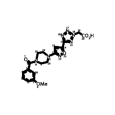 COc1cccc(C(=O)N2CCN(c3cc(-c4nnn(CC(=O)O)n4)on3)CC2)c1